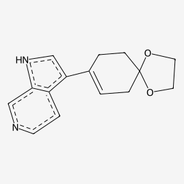 C1=C(c2c[nH]c3cnccc23)CCC2(C1)OCCO2